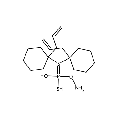 C=CCC1(S(C2(CC=C)CCCCC2)=P(O)(S)ON)CCCCC1